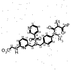 CCCC(=O)C(CC)C(=O)N(C)c1ccc(CN(Cc2cccc(NCC(=O)O)n2)S(=O)(=O)c2cccnc2)cc1